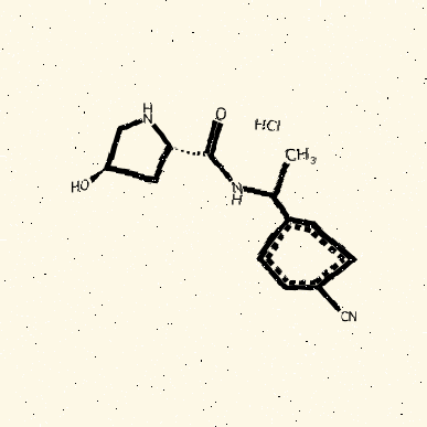 CC(NC(=O)[C@@H]1C[C@@H](O)CN1)c1ccc(C#N)cc1.Cl